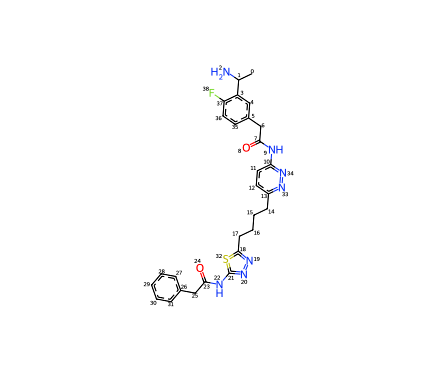 CC(N)c1cc(CC(=O)Nc2ccc(CCCCc3nnc(NC(=O)Cc4ccccc4)s3)nn2)ccc1F